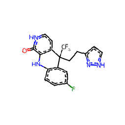 O=c1[nH]ccc2c1Nc1ccc(F)cc1C2(CCc1cc[nH]n1)C(F)(F)F